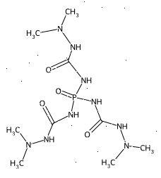 CN(C)NC(=O)NP(=O)(NC(=O)NN(C)C)NC(=O)NN(C)C